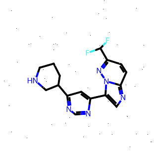 FC(F)c1ccc2ncc(-c3cc(C4CCCNC4)ncn3)n2n1